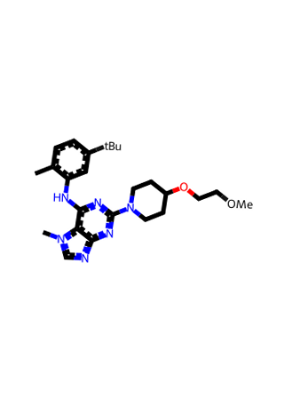 COCCOC1CCN(c2nc(Nc3cc(C(C)(C)C)ccc3C)c3c(ncn3C)n2)CC1